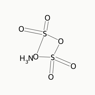 N.O=S1(=O)OS(=O)(=O)O1